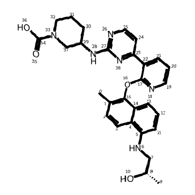 Cc1ccc2c(NC[C@H](C)O)cccc2c1Oc1ncccc1-c1ccnc(NC2CCCN(C(=O)O)C2)n1